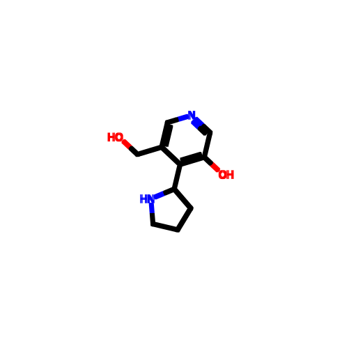 OCc1cncc(O)c1C1CCCN1